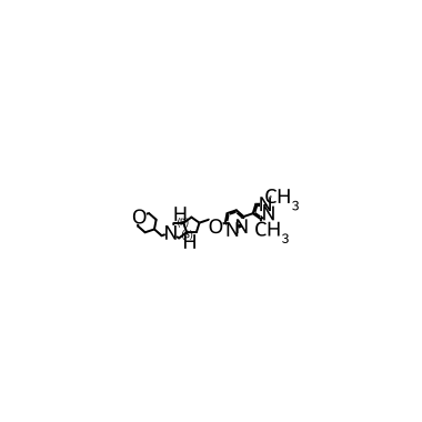 Cc1nn(C)cc1-c1ccc(OCC2C[C@@H]3CN(CC4CCOCC4)C[C@@H]3C2)nn1